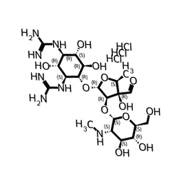 CN[C@@H]1[C@H](O[C@H]2[C@H](O[C@H]3[C@H](O)[C@@H](O)[C@H](NC(=N)N)[C@@H](O)[C@@H]3NC(=N)N)O[C@@H](C)[C@]2(O)C=O)O[C@@H](CO)[C@H](O)[C@H]1O.Cl.Cl.Cl